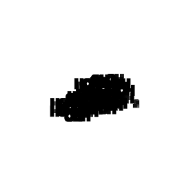 Bc1c(O)c(O)c2c(-c3c4c(B)c(O)c(O)c(O)c4c(-c4c(O)c(O)c(-c5c(O)c(O)c6c(O)c(O)c(O)c(O)c6c5B)c(O)c4O)c4c(B)c(O)c(O)c(O)c34)c(O)c(O)c(O)c2c1O